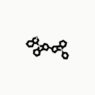 c1ccc(-n2c3ccccc3c3cc(-c4ccc5c(c4)c4ccccc4n5-c4cncc5ccccc45)ccc32)cc1